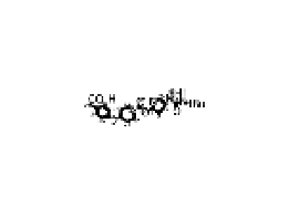 CC(C)(C)NC(=O)N(S)c1ccc(OC(=O)N2CCC(Oc3ccc(CC(=O)O)cc3)CC2)nc1